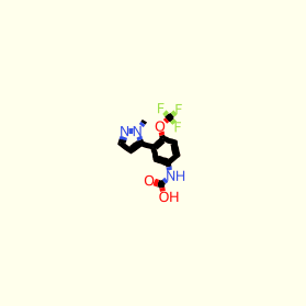 Cn1nccc1-c1cc(NC(=O)O)ccc1OC(F)(F)F